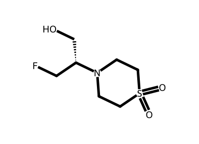 O=S1(=O)CCN([C@@H](CO)CF)CC1